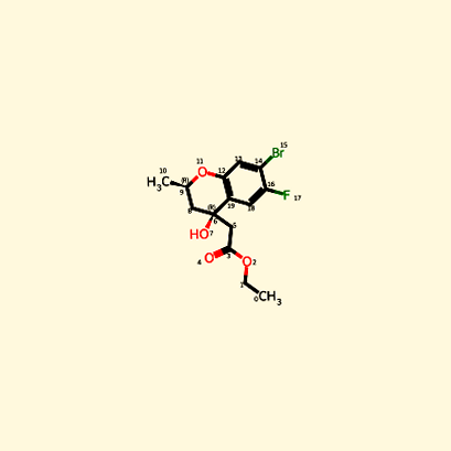 CCOC(=O)C[C@]1(O)C[C@@H](C)Oc2cc(Br)c(F)cc21